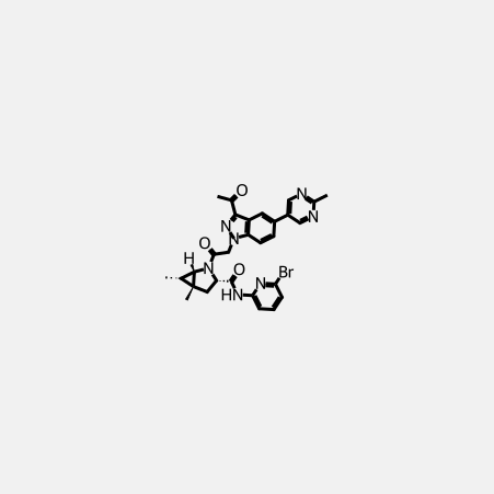 CC(=O)c1nn(CC(=O)N2[C@H]3[C@@H](C)[C@@]3(C)C[C@H]2C(=O)Nc2cccc(Br)n2)c2ccc(-c3cnc(C)nc3)cc12